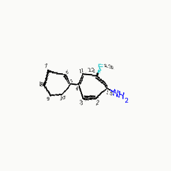 Nc1ccc(C2=CCCCC2)cc1F